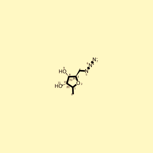 CC1O[C@H](CN=[N+]=[N-])[C@@H](O)[C@H]1O